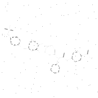 Cc1nc(Oc2ccc(NS(C)(=O)=O)cc2)ccc1CN1CCC(N(C(=O)Nc2ccc(C(N)=O)nc2)c2ccccc2)CC1